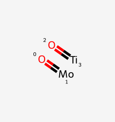 [O]=[Mo].[O]=[Ti]